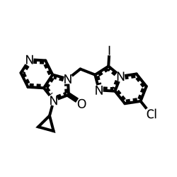 O=c1n(Cc2nc3cc(Cl)ccn3c2I)c2cnccc2n1C1CC1